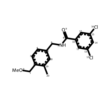 COCc1ccc(CNC(=O)c2cc(Cl)cc(Cl)c2)cc1C